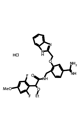 CCOC(C(=O)NCc1ccc(C(=N)N)cc1OCc1nc2ccccc2[nH]1)c1c(F)cc(OC)cc1F.Cl